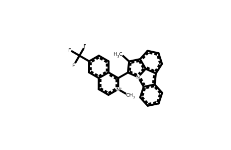 Cc1c(-c2c3ccc(C(F)(F)F)cc3cc[n+]2C)n2c3ccccc3c3cccc1c32